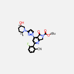 C[C@H]1CC[C@@H](O)CN1c1ccn(-c2cc(-c3c(F)cccc3C#N)nc3c2C(=O)N(C(=O)OC(C)(C)C)C3)n1